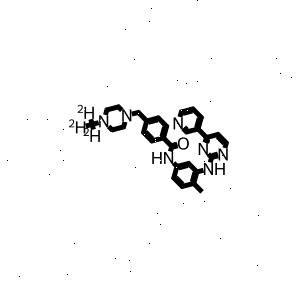 [2H]C([2H])([2H])N1CCN(Cc2ccc(C(=O)Nc3ccc(C)c(Nc4nccc(-c5cccnc5)n4)c3)cc2)CC1